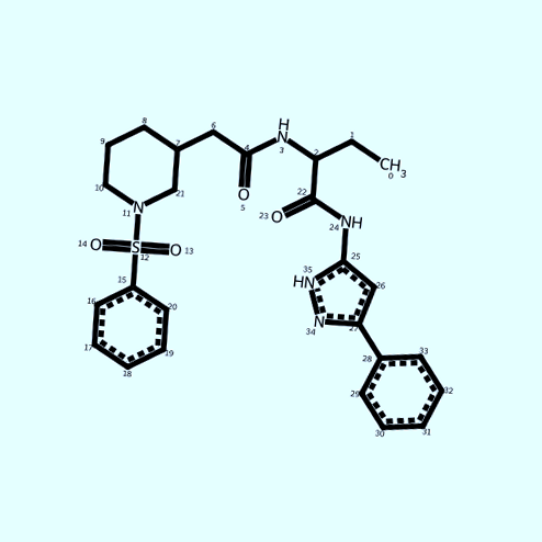 CCC(NC(=O)CC1CCCN(S(=O)(=O)c2ccccc2)C1)C(=O)Nc1cc(-c2ccccc2)n[nH]1